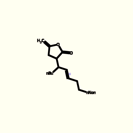 C=C1CC(C(/C=C/CCCCCCCCCCC)CCCC)C(=O)O1